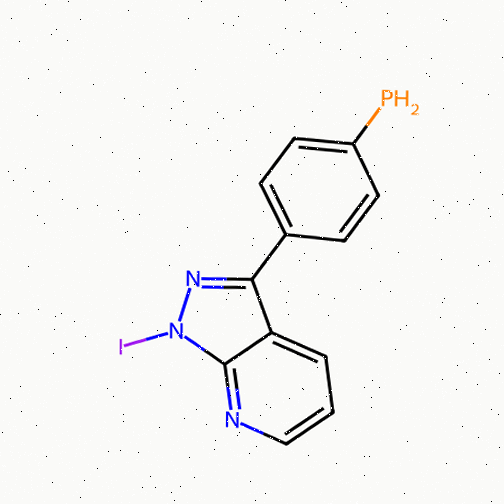 Pc1ccc(-c2nn(I)c3ncccc23)cc1